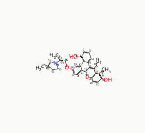 CC1=C(c2cccc(O)c2)C(c2ccc(OC[C@H](C)N3CC[C@@H](C)C3)cc2)Oc2ccc(O)c(C)c21